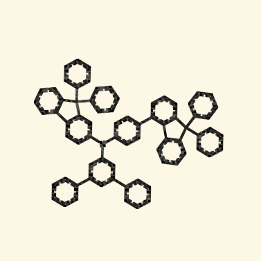 c1ccc(-c2cc(-c3ccccc3)cc(N(c3ccc(-c4cccc5c4-c4ccccc4C5(c4ccccc4)c4ccccc4)cc3)c3ccc4c(c3)C(c3ccccc3)(c3ccccc3)c3ccccc3-4)c2)cc1